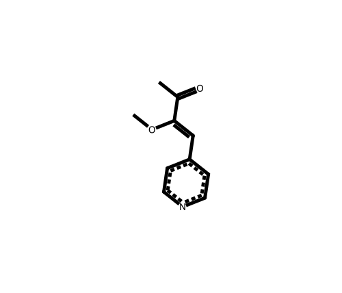 CO/C(=C\c1ccncc1)C(C)=O